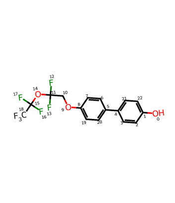 Oc1ccc(-c2ccc(OCC(F)(F)OC(F)(F)C(F)(F)F)cc2)cc1